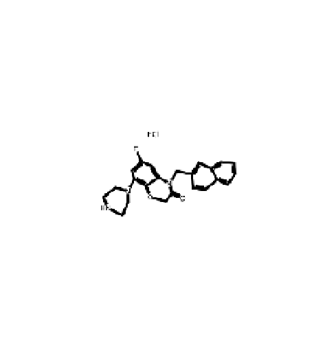 Cl.O=C1COc2c(N3CCNCC3)cc(F)cc2N1Cc1ccc2ccccc2c1